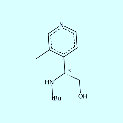 Cc1cnccc1[C@H](CO)NC(C)(C)C